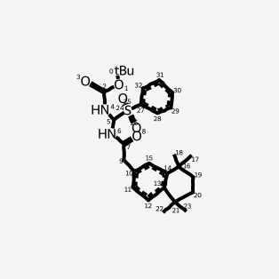 CC(C)(C)OC(=O)NC(NC(=O)Cc1ccc2c(c1)C(C)(C)CCC2(C)C)S(=O)(=O)c1ccccc1